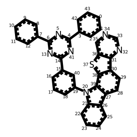 c1ccc(-c2nc(-c3ccccc3)nc(-c3cccc(-n4c5ccccc5c5ccc6c7ncncc7sc6c54)c3)n2)cc1